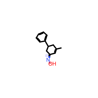 CC1=C/C(=N\O)CC(c2ccccc2)C1